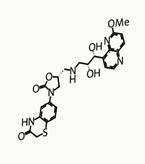 COc1ccc2nccc([C@@H](O)[C@H](O)CNC[C@@H]3CN(c4ccc5c(c4)NC(=O)CS5)C(=O)O3)c2n1